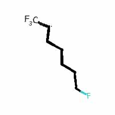 FCCCCC[CH]C(F)(F)F